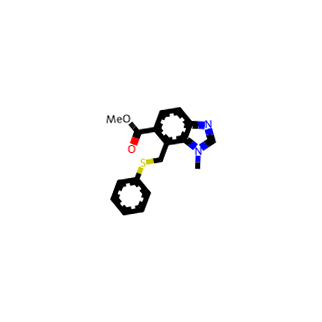 COC(=O)c1ccc2ncn(C)c2c1CSc1ccccc1